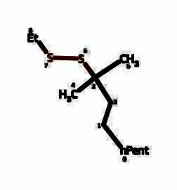 CCCCCCCC(C)(C)SSCC